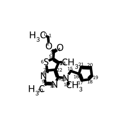 CCOC(=O)c1sc2nc(C)nc(N(C)Cc3ccccc3)c2c1C